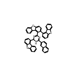 c1ccc2cc(C3=NC(c4c(-c5cccc6sc7ccccc7c56)ccc5oc6ccccc6c45)=NC(c4cccc5sc6ccccc6c45)N3)ccc2c1